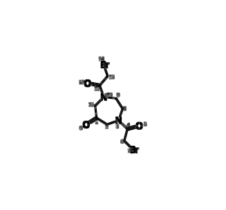 O=C1CN(C(=O)CBr)CCN(C(=O)CBr)C1